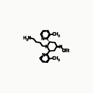 CCON=C1CC(c2ncccc2C)N(CCCCN)[C@H](c2ncccc2C)C1